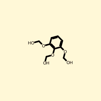 OCOc1cccc(OCO)c1OCO